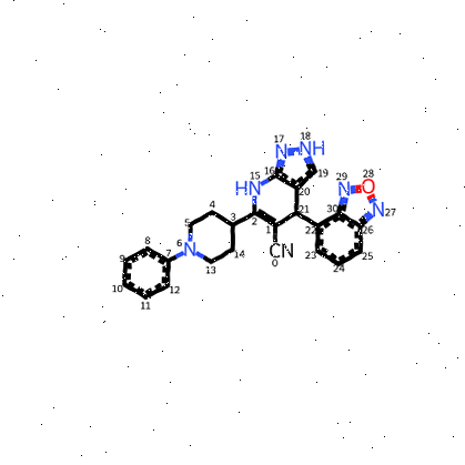 N#CC1=C(C2CCN(c3ccccc3)CC2)Nc2n[nH]cc2C1c1cccc2nonc12